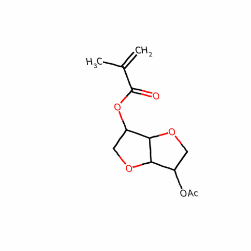 C=C(C)C(=O)OC1COC2C(OC(C)=O)COC12